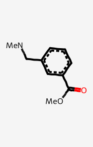 CNCc1cccc(C(=O)OC)c1